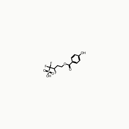 O=C(OCCC(F)C(F)(F)S(=O)(=O)O)c1ccc(O)cc1